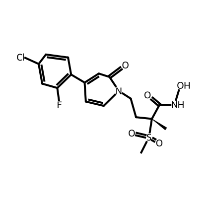 C[C@@](CCn1ccc(-c2ccc(Cl)cc2F)cc1=O)(C(=O)NO)S(C)(=O)=O